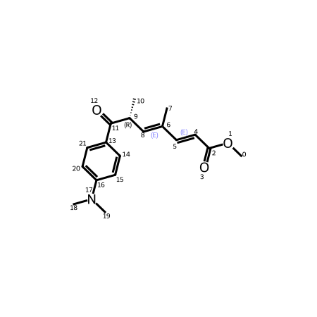 COC(=O)/C=C/C(C)=C/[C@@H](C)C(=O)c1ccc(N(C)C)cc1